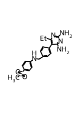 CCc1nc(N)nc(N)c1-c1ccc(CNc2ccc(S(C)(=O)=O)cc2)cc1